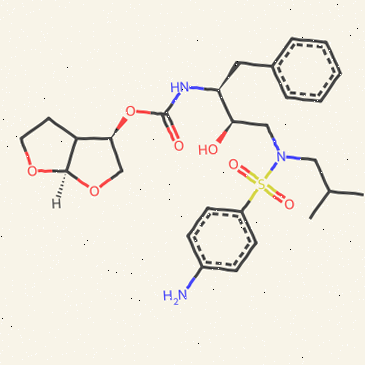 CC(C)CN(C[C@@H](O)[C@H](Cc1ccccc1)NC(=O)O[C@H]1CO[C@H]2OCCC21)S(=O)(=O)c1ccc(N)cc1